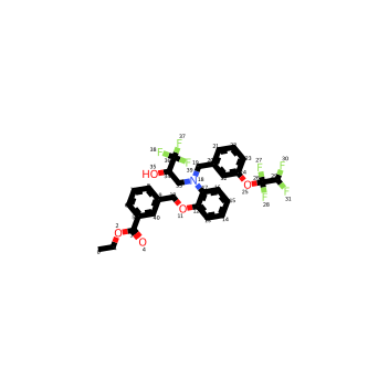 CCOC(=O)c1cccc(COc2ccccc2N(Cc2cccc(OC(F)(F)C(F)F)c2)CC(O)C(F)(F)F)c1